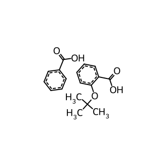 CC(C)(C)Oc1ccccc1C(=O)O.O=C(O)c1ccccc1